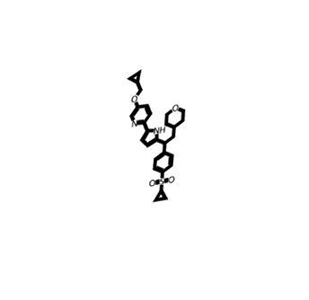 O=S(=O)(c1ccc(C(CC2CCOCC2)c2ccc(-c3ccc(OCC4CC4)cn3)[nH]2)cc1)C1CC1